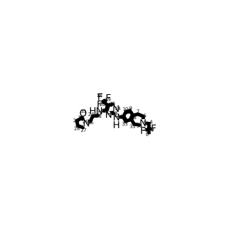 CC(F)(F)CN1CCc2ccc(Nc3ncc(C(F)(F)F)c(NCCCN4CCCC4=O)n3)cc2CC1